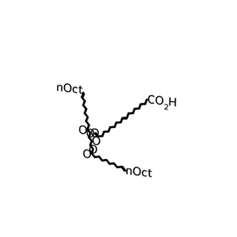 CCCCCCCCC=CCCCCCCCC(=O)OCC(COC(=O)CCCCCCCC=CCCCCCCCC)OC(=O)CCCCCCCC=CCCCCCCCC(=O)O